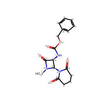 O=C(N[C@@H]1C(=O)N(S(=O)(=O)O)[C@@H]1N1C(=O)CCCC1=O)OCc1ccccc1